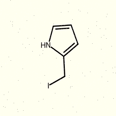 ICc1ccc[nH]1